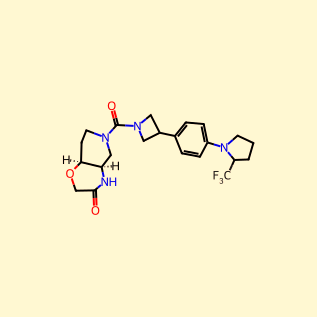 O=C1CO[C@H]2CCN(C(=O)N3CC(c4ccc(N5CCCC5C(F)(F)F)cc4)C3)C[C@H]2N1